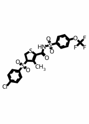 CC1=C(C(=O)NS(=O)(=O)c2ccc(OC(F)(F)F)cc2)SCC1S(=O)(=O)c1ccc(Cl)cc1